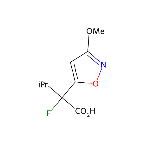 COc1cc(C(F)(C(=O)O)C(C)C)on1